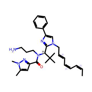 C\C=C/C=C\C=C\Cn1cc(-c2ccccc2)nc1[C@H](N(CCCN)C(=O)c1cc(C)n(C)n1)C(C)(C)C